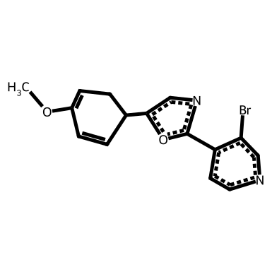 COC1=CCC(c2cnc(-c3ccncc3Br)o2)C=C1